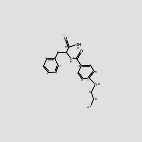 O=C(NC(Cc1ccccc1)C(=O)O)c1ccc(OCCF)cc1